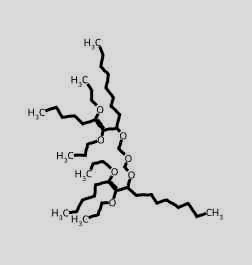 CCCCCCCCC(OCOCOC(CCCCCCCC)C(OCCC)=C(CCCCC)OCCC)C(OCCC)=C(CCCCC)OCCC